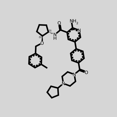 Cc1cccc(CO[C@H]2CCC[C@@H]2NC(=O)c2cc(-c3ccc(C(=O)N4CCN(C5CCCC5)CC4)cc3)cnc2N)c1